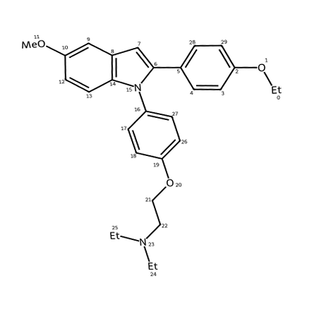 CCOc1ccc(-c2cc3cc(OC)ccc3n2-c2ccc(OCCN(CC)CC)cc2)cc1